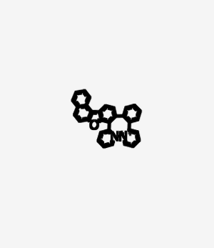 c1ccc2c(c1)-c1ccc3c(oc4ccc5ccccc5c43)c1-c1cccc[n+]1-[n+]1ccccc1-2